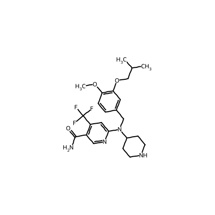 COc1ccc(CN(c2cc(C(F)(F)F)c(C(N)=O)cn2)C2CCNCC2)cc1OCC(C)C